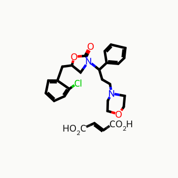 O=C(O)C=CC(=O)O.O=C1OC(Cc2ccccc2Cl)CN1C(CCN1CCOCC1)c1ccccc1